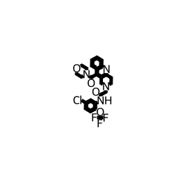 O=C(CN1CCc2nc3ccccc3c(C(=O)N3CCOCC3)c2C1)Nc1cc(Cl)ccc1OC(F)(F)F